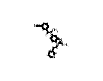 CN(C(=O)c1cccc(C#N)c1)c1ccc2c(c1)nc(N)n2CCc1cccnc1